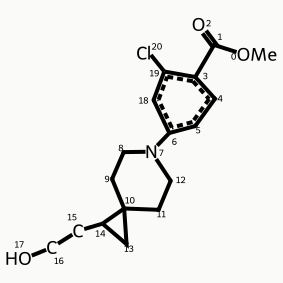 COC(=O)c1ccc(N2CCC3(CC2)CC3CCO)cc1Cl